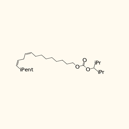 CCCC(C)/C=C\C/C=C\CCCCCCCCOC(=O)OC(C(C)C)C(C)C